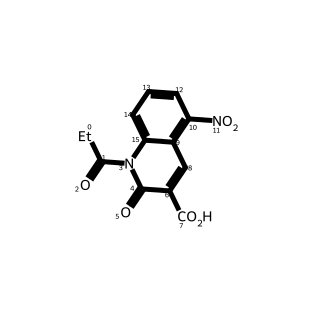 CCC(=O)n1c(=O)c(C(=O)O)cc2c([N+](=O)[O-])cccc21